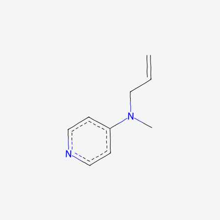 C=CCN(C)c1ccncc1